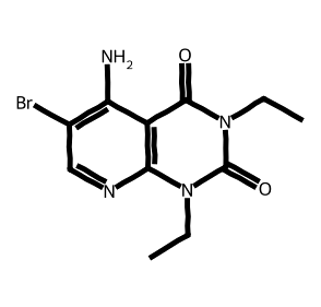 CCn1c(=O)c2c(N)c(Br)cnc2n(CC)c1=O